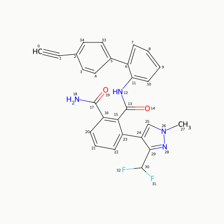 C#Cc1ccc(-c2ccccc2NC(=O)c2c(C(N)=O)cccc2-c2cn(C)nc2C(F)F)cc1